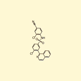 N#Cc1ccc(NS(=O)(=O)c2ccc(Cl)c(-c3nccc4ccccc34)c2)c(Cl)c1